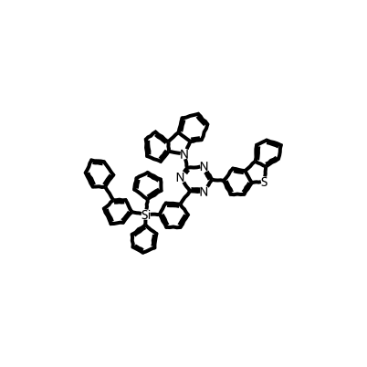 c1ccc(-c2cccc([Si](c3ccccc3)(c3ccccc3)c3cccc(-c4nc(-c5ccc6sc7ccccc7c6c5)nc(-n5c6ccccc6c6ccccc65)n4)c3)c2)cc1